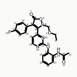 CCOCn1oc(=O)c(-c2ccc(F)cc2)c1-c1ccnc(Oc2ccccc2NC(C)=O)n1